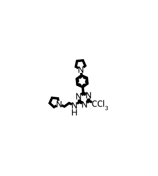 ClC(Cl)(Cl)c1nc(NCCN2CCCC2)nc(-c2ccc(N3CCCC3)cc2)n1